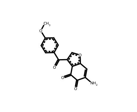 COc1ccc(C(=O)c2coc3c2C(=O)C(=O)C(N)=C3)cc1